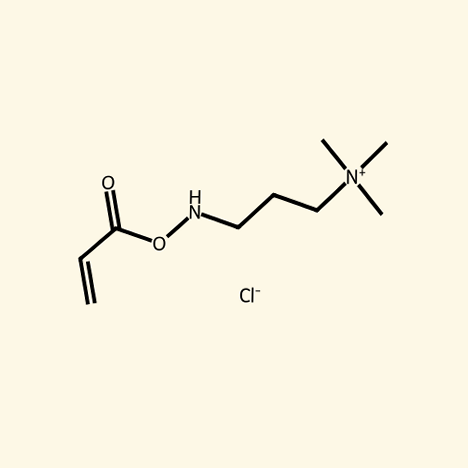 C=CC(=O)ONCCC[N+](C)(C)C.[Cl-]